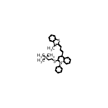 CN1/C(=C\C=C\c2cc(SCC[N+](C)(C)C)[n+](-c3ccccc3)c3ccccc23)Sc2ccccc21